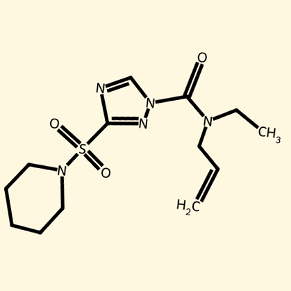 C=CCN(CC)C(=O)n1cnc(S(=O)(=O)N2CCCCC2)n1